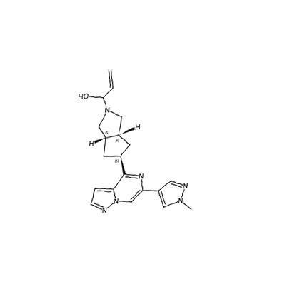 C=CC(O)N1C[C@H]2C[C@H](c3nc(-c4cnn(C)c4)cn4nccc34)C[C@H]2C1